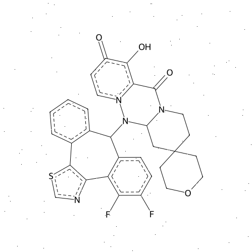 O=C1c2c(O)c(=O)ccn2N(C2c3ccccc3-c3scnc3-c3c2ccc(F)c3F)C2CC3(CCOCC3)CCN12